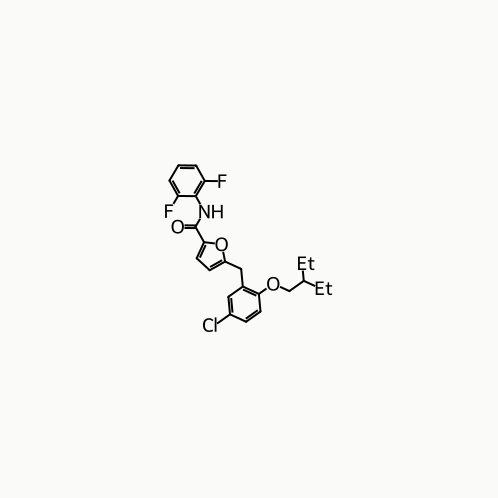 CCC(CC)COc1ccc(Cl)cc1Cc1ccc(C(=O)Nc2c(F)cccc2F)o1